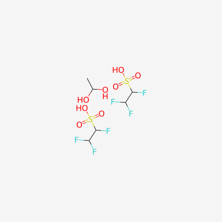 CC(O)O.O=S(=O)(O)C(F)C(F)F.O=S(=O)(O)C(F)C(F)F